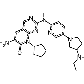 CCNC1CCN(c2ccc(Nc3ncc4cc(N)c(=O)n(C5CCCC5)c4n3)nc2)C1